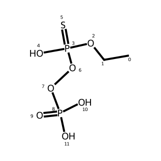 CCOP(O)(=S)OOP(=O)(O)O